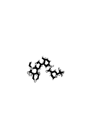 CCN1C(=O)[C@@H]2COCC[C@H]2c2cc(-c3cc(NC(=O)c4ccnc(C(F)(F)F)c4)ccc3C)cnc21